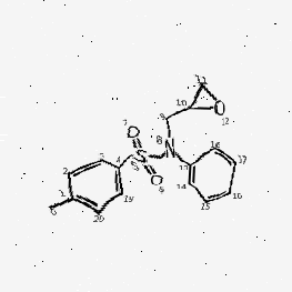 Cc1ccc(S(=O)(=O)N(CC2CO2)c2ccccc2)cc1